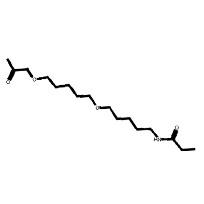 CCC(=O)NCCCCCOCCCCCOCC(C)=O